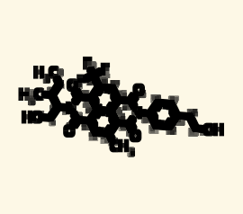 CCC(C)C(CO)N1C(=O)c2cc(C)c3c4c(cc(C(F)(F)F)c(c24)C1=O)C(=O)N(c1ccc(CCO)cc1)C3=O